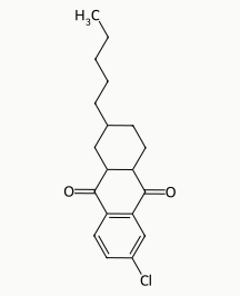 CCCCCC1CCC2C(=O)c3cc(Cl)ccc3C(=O)C2C1